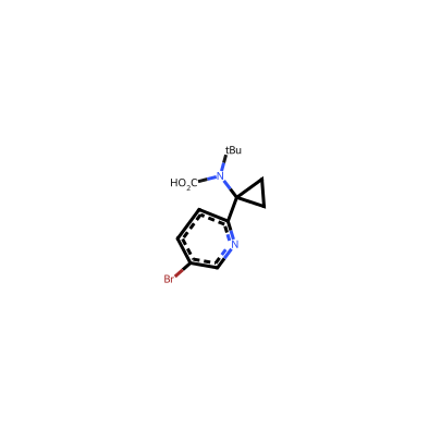 CC(C)(C)N(C(=O)O)C1(c2ccc(Br)cn2)CC1